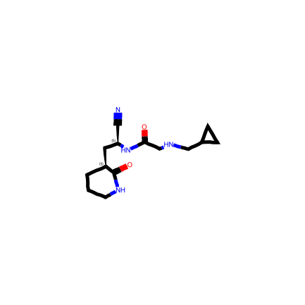 N#C[C@H](C[C@@H]1CCCNC1=O)NC(=O)CNCC1CC1